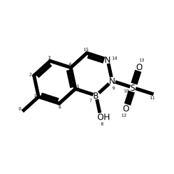 Cc1ccc2c(c1)B(O)N(S(C)(=O)=O)N=C2